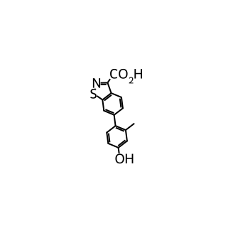 Cc1cc(O)ccc1-c1ccc2c(C(=O)O)nsc2c1